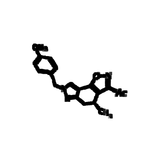 COc1ccc(Cn2cc3c(n2)C[C@H](C)c2c(C(C)=O)noc2-3)cc1